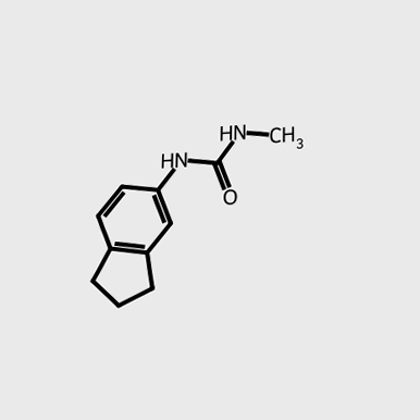 CNC(=O)Nc1ccc2c(c1)CCC2